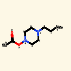 CNCCN1CCN(OC(=O)C(C)(C)C)CC1